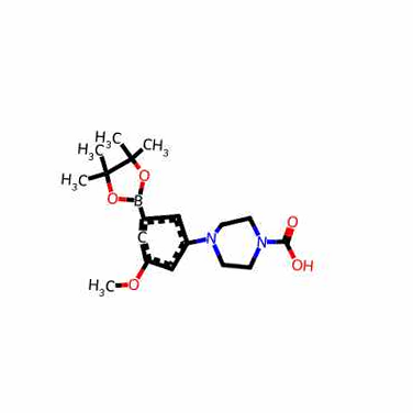 COc1cc(B2OC(C)(C)C(C)(C)O2)cc(N2CCN(C(=O)O)CC2)c1